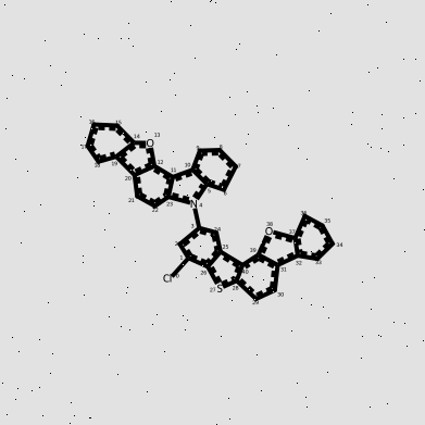 Clc1cc(-n2c3ccccc3c3c4oc5ccccc5c4ccc32)cc2c1sc1ccc3c4ccccc4oc3c12